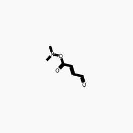 CN(C)OC(=O)C=CC=O